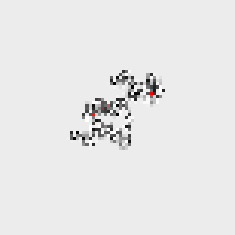 COc1cc(C(=O)N2C[C@H]3CC[C@@H]2[C@@H]3Nc2cnc3c(c2)cc(-c2nc4cc(C(=O)N5C[C@H]6CC[C@@H]5[C@@H]6N)cc(OC)c4n2C[C@H]2CCOC2)n3CC2CC2)cc2nc(-c3cc4cccnc4n3CC3CC3)n(C[C@@H]3CCOC3)c12